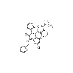 CN(C)C(=O)C1CCCCN1N1C(=O)c2ccccc2C(C(=O)NOCc2ccccn2)C1c1ccc(Cl)cc1Cl